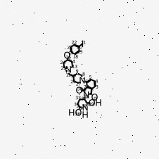 O=C1c2cccc(N3CCC(CN4CCC(Oc5ccc(I)cc5)CC4)CC3)c2C(=O)N1C1CCC(O)NC1O